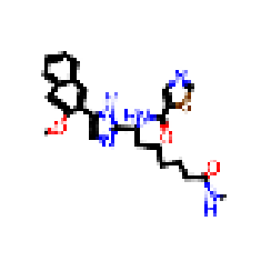 CNC(=O)CCCCCC(NC(=O)c1cncs1)c1ncc(-c2cc3ccccc3cc2OC)[nH]1